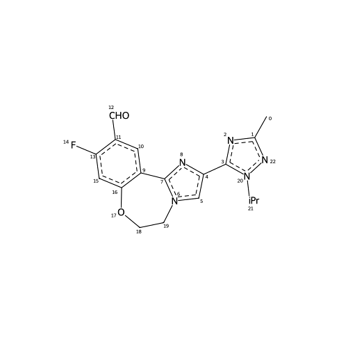 Cc1nc(-c2cn3c(n2)-c2cc(C=O)c(F)cc2OCC3)n(C(C)C)n1